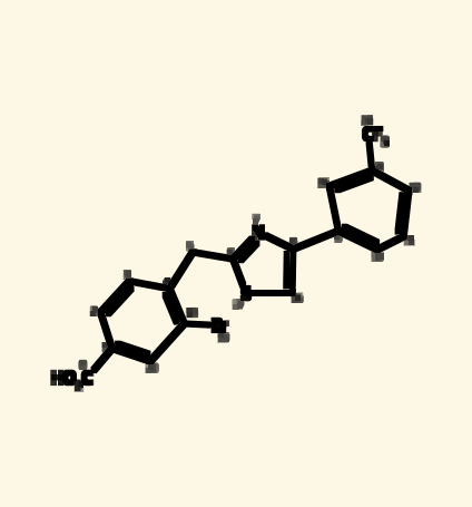 O=C(O)c1ccc(Cc2nc(-c3cccc(C(F)(F)F)c3)cs2)c(Br)c1